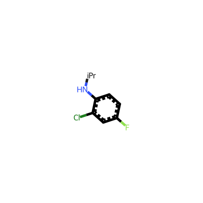 CC(C)Nc1ccc(F)cc1Cl